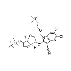 CC(C)(C)[Si](C)(C)O[C@@H]1CO[C@H]2[C@@H]1OC[C@H]2Oc1c(C#N)c2nc(Cl)c(Cl)cc2n1COCC[Si](C)(C)C